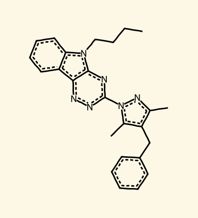 CCCCn1c2ccccc2c2nnc(-n3nc(C)c(Cc4ccccc4)c3C)nc21